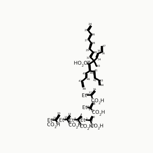 C=C(CC)C(=O)O.C=C(CC)C(=O)O.C=C(CC)C(=O)O.C=C(CC)C(=O)O.C=C(CC)C(=O)O.C=C(CC)C(=O)O.C=CC=CC=CC=CC(C)(C=CC=C)C(C(=O)O)=C(C=CC=C)C=CC=C